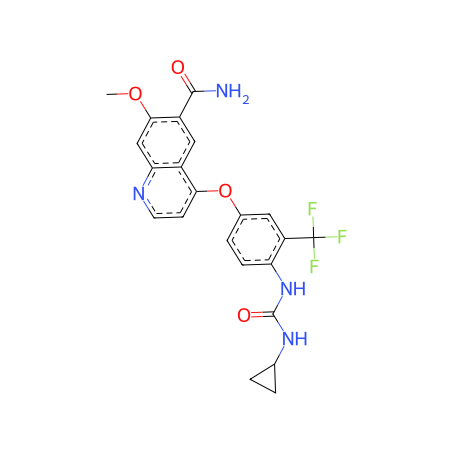 COc1cc2nccc(Oc3ccc(NC(=O)NC4CC4)c(C(F)(F)F)c3)c2cc1C(N)=O